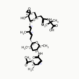 CC(=O)O[C@@H](C)/C=C\C(=O)N[C@@H]1C[C@H](C)[C@H](C/C=C(C)/C=C/[C@H]2O[C@H](CC(=O)NC(C)(C)C(=O)O)C[C@@]3(CO3)[C@@H]2O)O[C@@H]1C